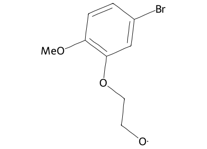 COc1ccc(Br)cc1OCC[O]